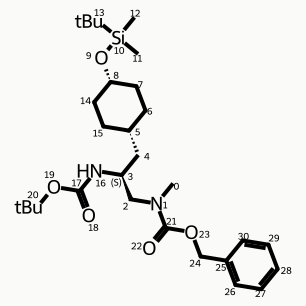 CN(C[C@H](C[C@H]1CC[C@@H](O[Si](C)(C)C(C)(C)C)CC1)NC(=O)OC(C)(C)C)C(=O)OCc1ccccc1